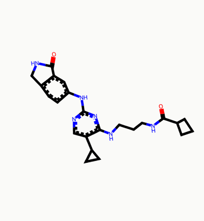 O=C1NCc2ccc(Nc3ncc(C4CC4)c(NCCCNC(=O)C4CCC4)n3)cc21